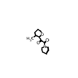 CC1CCCOC1C(=O)C(=O)N1CCCCC1